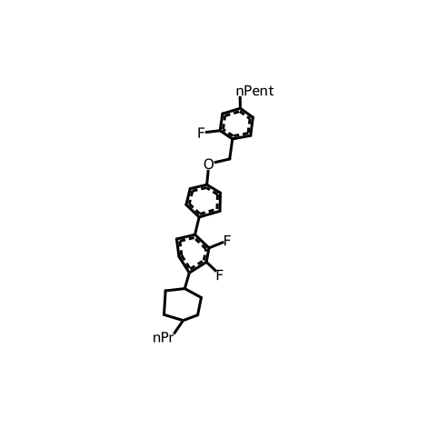 CCCCCc1ccc(COc2ccc(-c3ccc(C4CCC(CCC)CC4)c(F)c3F)cc2)c(F)c1